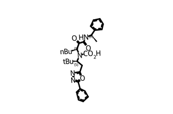 CCCC[C@@H](C(=O)C(=O)N[C@H](C)c1ccccc1)N(C(=O)O)[C@@H](Cc1nnc(-c2ccccc2)o1)C(C)(C)C